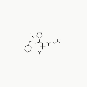 CC(C)COC(=O)N[C@@H](C(=O)N1C[C@H](N)C[C@H]1C(=O)NCC1CCCCC1)C(C)(C)SC(C)C